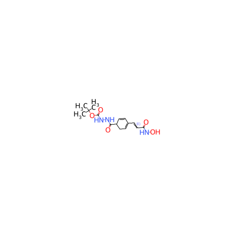 CC(C)(C)OC(=O)NNC(=O)C1C=CC(/C=C/C(=O)NO)=CC1